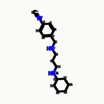 [C-]#[N+]c1ccc(CNCCCNC2CCCCC2)cc1